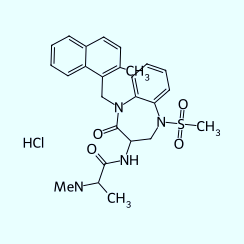 CNC(C)C(=O)NC1CN(S(C)(=O)=O)c2ccccc2N(Cc2c(C)ccc3ccccc23)C1=O.Cl